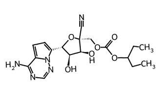 CCC(CC)OC(=O)OC[C@@]1(C#N)O[C@@H](c2ccc3c(N)ncnn23)[C@H](O)[C@@H]1O